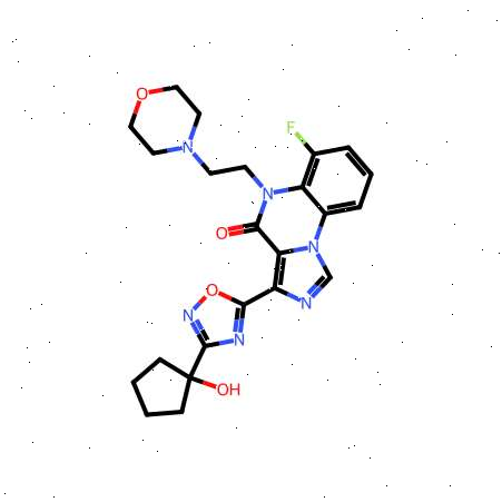 O=c1c2c(-c3nc(C4(O)CCCC4)no3)ncn2c2cccc(F)c2n1CCN1CCOCC1